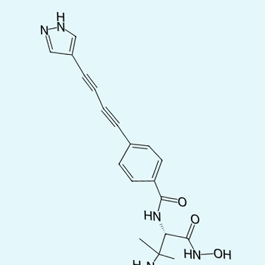 CC(C)(N)[C@H](NC(=O)c1ccc(C#CC#Cc2cn[nH]c2)cc1)C(=O)NO